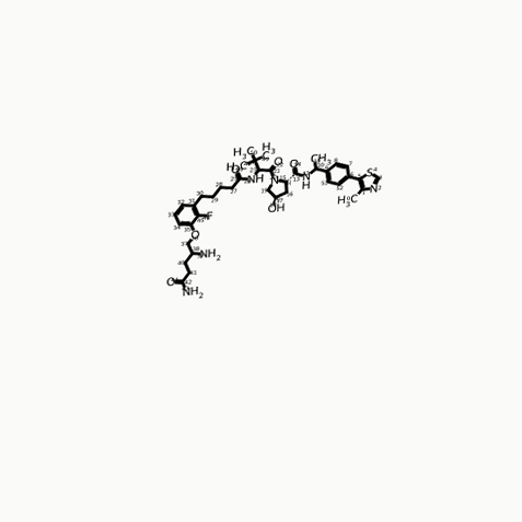 Cc1ncsc1-c1ccc(C(C)NC(=O)[C@@H]2C[C@@H](O)CN2C(=O)C(NC(=O)CCCCc2cccc(OCC(N)CCC(N)=O)c2F)C(C)(C)C)cc1